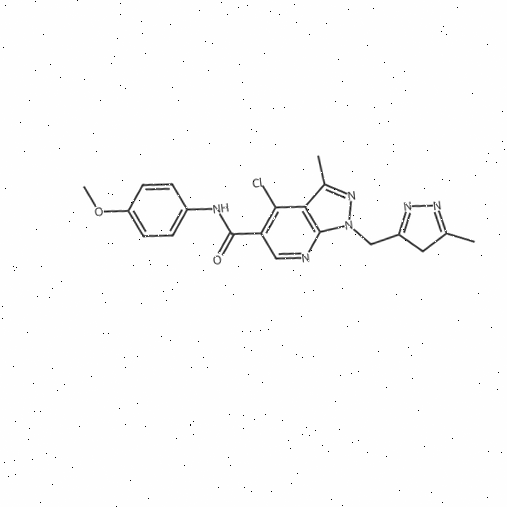 COc1ccc(NC(=O)c2cnc3c(c(C)nn3CC3=NN=C(C)C3)c2Cl)cc1